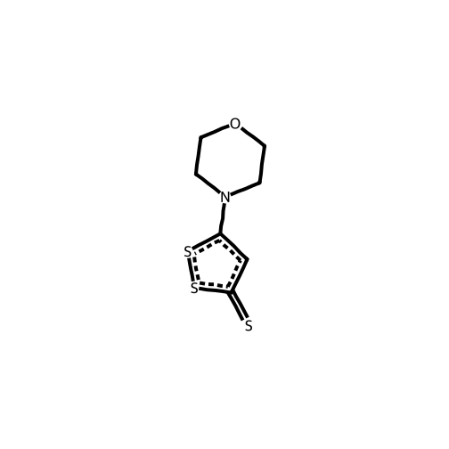 S=c1cc(N2CCOCC2)ss1